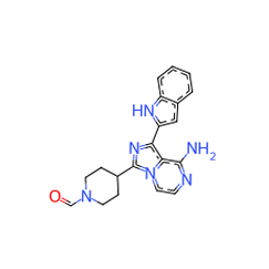 Nc1nccn2c(C3CCN(C=O)CC3)nc(-c3cc4ccccc4[nH]3)c12